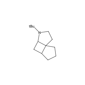 CC(C)(C)N1CCC23CCCC2CC13